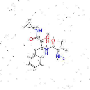 CC(C)C(N)C(=O)NC(Cc1ccccc1)C(O)C(=O)NC1CC1